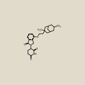 CC1CC2CC(C1)CC(C)(CCSc1cccc3c1CN(C1CCC(=O)NC1=O)C3=O)C2